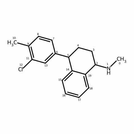 CNC1CCC(c2ccc(C)c(Cl)c2)c2ccccc21